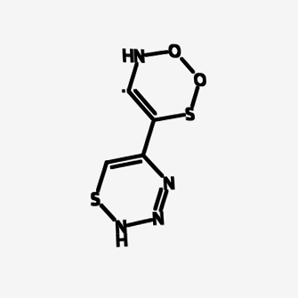 [c]1[nH]oosc1C1=CSNN=N1